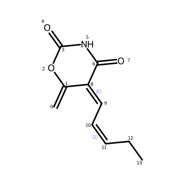 C=c1oc(=O)[nH]c(=O)/c1=C/C=C\CC